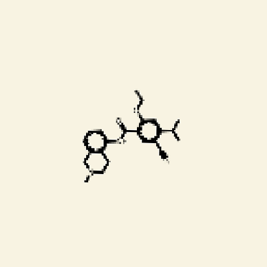 CCOc1cc(C(C)C)c(C#N)cc1C(=O)Nc1cccc2c1CCN(C)C2